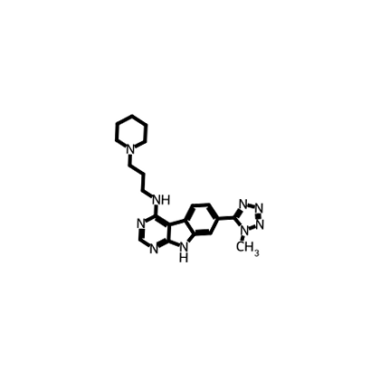 Cn1nnnc1-c1ccc2c(c1)[nH]c1ncnc(NCCCN3CCCCC3)c12